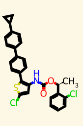 C[C@@H](OC(=O)Nc1cc(Cl)sc1-c1ccc(-c2ccc(C3CC3)cc2)cc1)c1ccccc1Cl